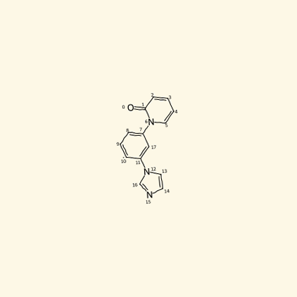 O=c1ccccn1-c1cc[c]c(-n2ccnc2)c1